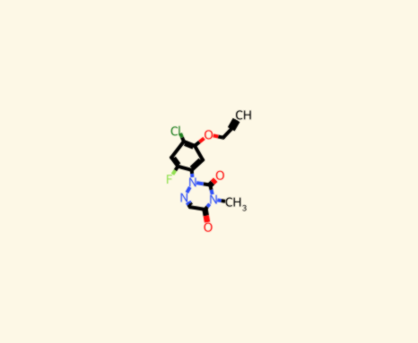 C#CCOc1cc(-n2ncc(=O)n(C)c2=O)c(F)cc1Cl